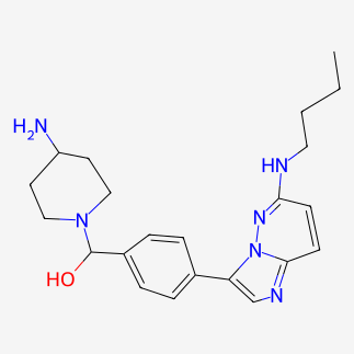 CCCCNc1ccc2ncc(-c3ccc(C(O)N4CCC(N)CC4)cc3)n2n1